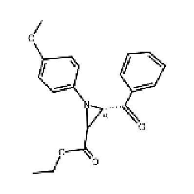 CCOC(=O)C1[C@@H](C(=O)c2ccccc2)N1c1ccc(OC)cc1